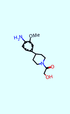 COc1cc(C2CCN(C(=O)CO)CC2)ccc1N